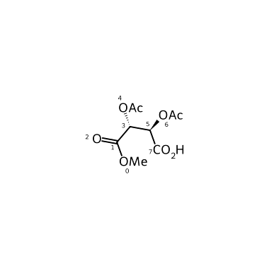 COC(=O)[C@H](OC(C)=O)[C@@H](OC(C)=O)C(=O)O